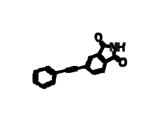 O=C1NC(=O)c2cc(C#Cc3ccccc3)ccc21